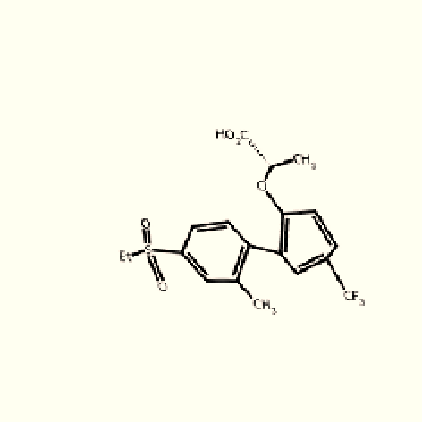 CCS(=O)(=O)c1ccc(-c2cc(C(F)(F)F)ccc2O[C@@H](C)C(=O)O)c(C)c1